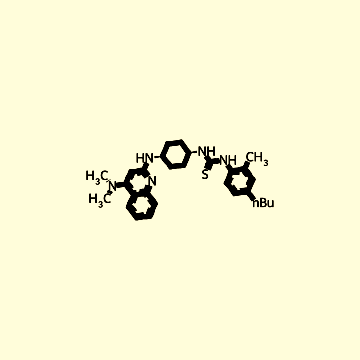 CCCCc1ccc(NC(=S)N[C@H]2CC[C@@H](Nc3cc(N(C)C)c4ccccc4n3)CC2)c(C)c1